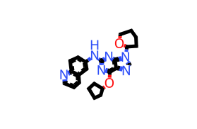 c1cnc2ccc(Nc3nc(OC4CCCC4)c4ncn(C5CCCCO5)c4n3)cc2c1